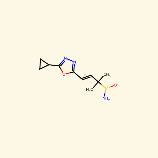 CC(C)(/C=C/c1nnc(C2CC2)o1)[S+](N)[O-]